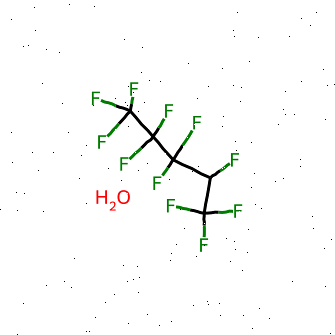 FC(C(F)(F)F)C(F)(F)C(F)(F)C(F)(F)F.O